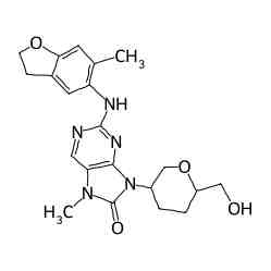 Cc1cc2c(cc1Nc1ncc3c(n1)n(C1CCC(CO)OC1)c(=O)n3C)CCO2